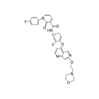 O=C(N[C@H]1C=C(F)C(Oc2ccnc3cc(OCCN4CCOCC4)ncc23)=CC1)c1cccn(-c2ccc(F)cc2)c1=O